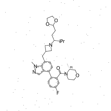 CC(C)C(CCC1OCCO1)N1CC(Cc2ccc(-c3ccc(F)cc3C(=O)N3CCOC[C@H]3C)c3cnn(C)c23)C1